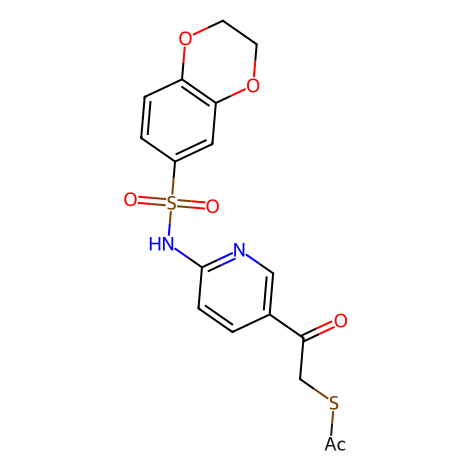 CC(=O)SCC(=O)c1ccc(NS(=O)(=O)c2ccc3c(c2)OCCO3)nc1